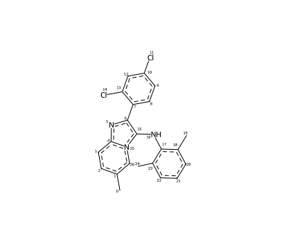 Cc1ccc2nc(-c3ccc(Cl)cc3Cl)c(Nc3c(C)cccc3C)n2c1